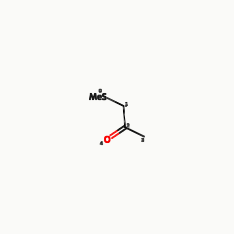 CS[CH]C(C)=O